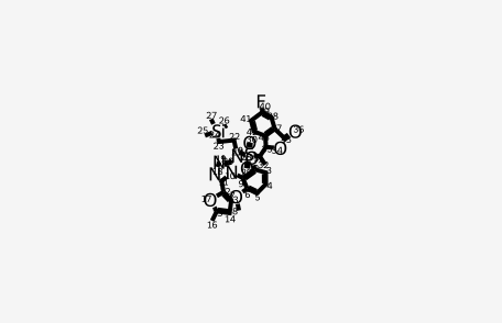 COc1cccc(OC)c1-n1c(-c2ccc(C)o2)nnc1N(CC[Si](C)(C)C)S(=O)(=O)C(C)C1OC(=O)c2cc(F)ccc21